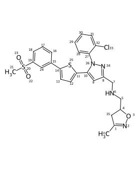 CC1=NOC(CNCc2cc(-c3ccc(-c4cccc(S(C)(=O)=O)c4)s3)n(-c3ccccc3Cl)n2)C1